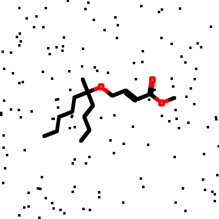 CCCCCC(C)(CCCC)OC/C=C/C(=O)OC